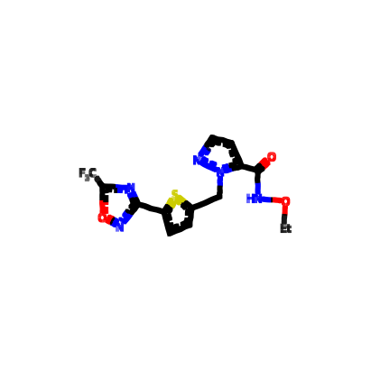 CCONC(=O)c1ccnn1Cc1ccc(-c2noc(C(F)(F)F)n2)s1